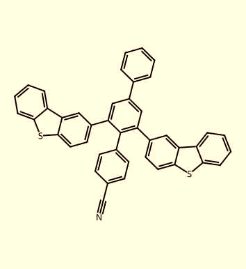 N#Cc1ccc(-c2c(-c3ccc4sc5ccccc5c4c3)cc(-c3ccccc3)cc2-c2ccc3sc4ccccc4c3c2)cc1